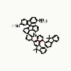 CC(C)(C)c1ccc2c(c1)C1(c3cc(C(C)(C)C)ccc3-2)c2ccccc2-c2c(N(c3ccc(-c4cccc5c4C(C)(C)c4ccccc4-5)cc3)c3ccccc3-c3ccc4c(c3)C(C)(C)c3ccccc3-4)cccc21